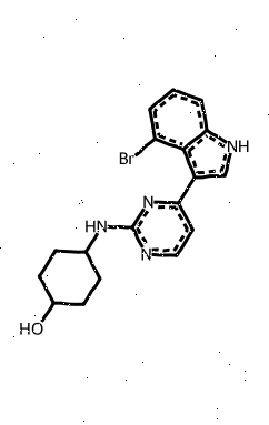 OC1CCC(Nc2nccc(-c3c[nH]c4cccc(Br)c34)n2)CC1